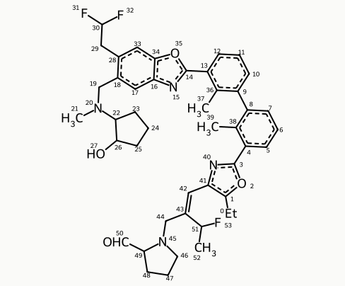 CCc1oc(-c2cccc(-c3cccc(-c4nc5cc(CN(C)C6CCCC6O)c(CC(F)F)cc5o4)c3C)c2C)nc1/C=C(/CN1CCCC1C=O)C(C)F